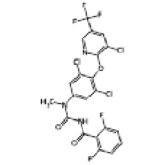 CN(C(=O)NC(=O)c1c(F)cccc1F)c1cc(Cl)c(Oc2ncc(C(F)(F)F)cc2Cl)c(Cl)c1